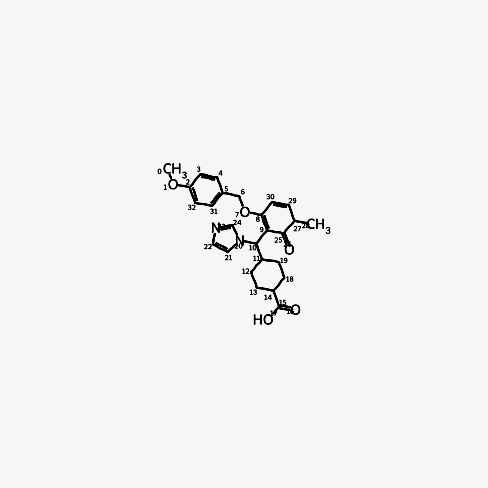 COc1ccc(COC2=C(C(C3CCC(C(=O)O)CC3)n3ccnc3)C(=O)C(C)C=C2)cc1